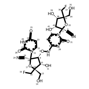 N#C[C@@]1(n2ccc(NO[C@@H]3[C@H](O)[C@](CO)(CF)O[C@@]3(C#N)n3ccc(=O)[nH]c3=O)nc2=O)O[C@@](CO)(CF)[C@@H](O)[C@H]1O